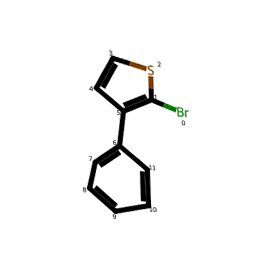 Brc1sccc1-c1ccccc1